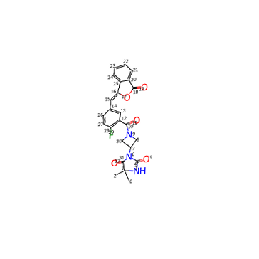 CC1(C)NC(=O)N(C2CN(C(=O)c3cc(/C=C4\OC(=O)c5ccccc54)ccc3F)C2)C1=O